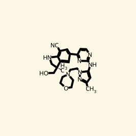 Cc1cc(Nc2nccc(-c3cc(C#N)c4c(c3)[C@@](C)(CO)CN4)n2)n(CCN2CCOCC2)n1